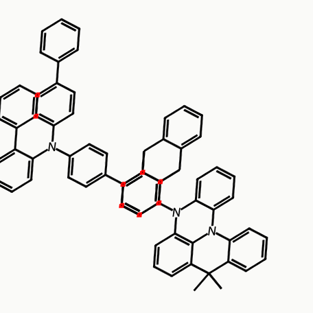 CC1(C)c2ccccc2N2c3ccccc3N(c3ccc(-c4ccc(N(c5ccc(-c6ccccc6)cc5)c5ccccc5-c5ccccc5)cc4)c4c3C3c5ccccc5C4c4ccccc43)c3cccc1c32